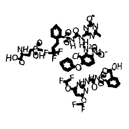 COc1nc(C)nc(NC(=O)NS(=O)(=O)c2ccccc2CCC(F)(F)F)n1.CP(=O)(O)CCC(N)C(=O)O.Nc1c([N+](=O)[O-])ccc(Oc2ccccc2)c1Cl.O=C(Nc1nc(OC(F)F)cc(OC(F)F)n1)NS(=O)(=O)c1ccccc1C(=O)O